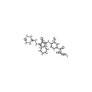 NNC(=O)c1ccc(Cn2c(=O)n(CCN3CCOCC3)c3ccccc32)c(F)c1